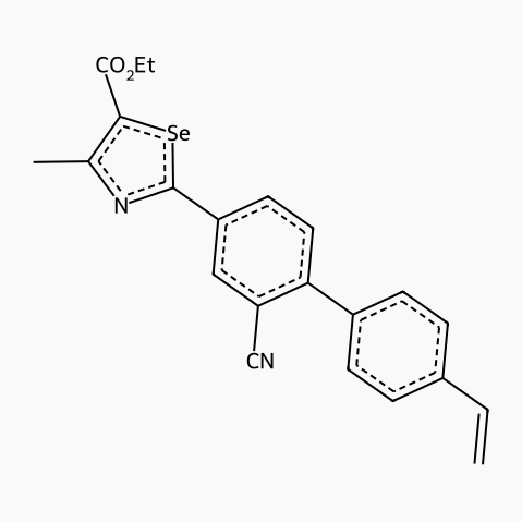 C=Cc1ccc(-c2ccc(-c3nc(C)c(C(=O)OCC)[se]3)cc2C#N)cc1